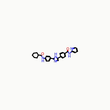 O=C(Nc1ccccn1)c1ccc(-c2cnc(-c3ccc(NC(=O)C4CCCCC4)cc3)[nH]2)cc1